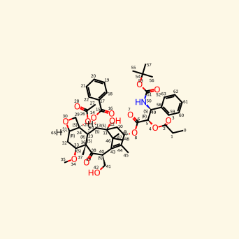 CCC(=O)O[C@@H](C(=O)O[C@H]1C[C@@]2(O)[C@@H](OC(=O)c3ccccc3)[C@@H]3[C@]4(OC(C)=O)CO[C@@H]4C[C@H](OC)[C@@]3(C)C(=O)[C@H](CO)C(=C1C)C2(C)C)[C@@H](NC(=O)OC(C)(C)C)c1ccccc1